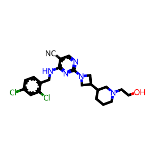 N#Cc1cnc(N2CC(C3CCCN(CCO)C3)C2)nc1NCc1ccc(Cl)cc1Cl